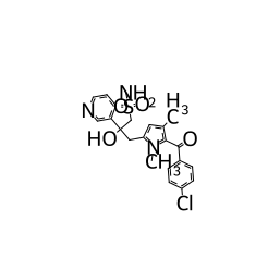 Cc1cc(CC(O)(CS(N)(=O)=O)c2cccnc2)n(C)c1C(=O)c1ccc(Cl)cc1